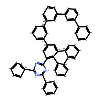 c1ccc(-c2cccc(-c3cccc(-c4cccc(-c5cc(-c6nc(-c7ccccc7)nc(-c7ccccc7)n6)c6c7ccccc7c7ccccc7c6c5)c4)c3)c2)cc1